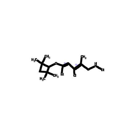 CCNC/C(C)=C(Cl)/C=C(\CC)OC1C(C)(C)CC1(C)C